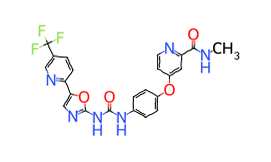 CNC(=O)c1cc(Oc2ccc(NC(=O)Nc3ncc(-c4ccc(C(F)(F)F)cn4)o3)cc2)ccn1